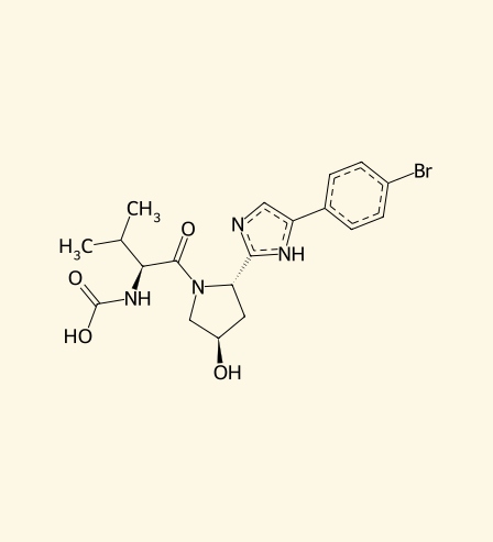 CC(C)[C@H](NC(=O)O)C(=O)N1C[C@H](O)C[C@H]1c1ncc(-c2ccc(Br)cc2)[nH]1